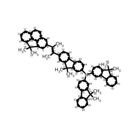 C/C(=C(/C)c1cc2c3c(ccc4cccc(c43)C2(C)C)c1)c1ccc2c(c1)C(C)(C)c1cc(N(c3ccc4c(c3)-c3ccccc3C4(C)C)c3ccc4c(c3)C(C)(C)c3ccccc3-4)ccc1-2